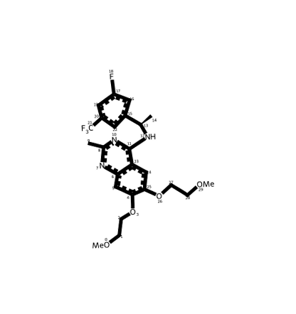 COCCOc1cc2nc(C)nc(N[C@H](C)c3cc(F)cc(C(F)(F)F)c3)c2cc1OCCOC